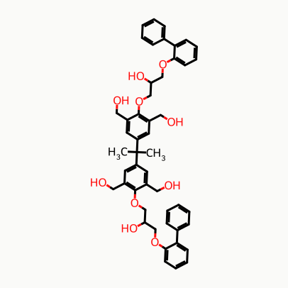 CC(C)(c1cc(CO)c(OCC(O)COc2ccccc2-c2ccccc2)c(CO)c1)c1cc(CO)c(OCC(O)COc2ccccc2-c2ccccc2)c(CO)c1